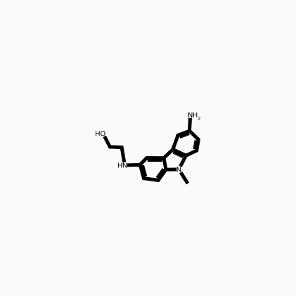 Cn1c2ccc(N)cc2c2cc(NCCO)ccc21